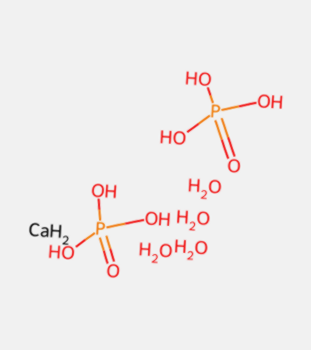 O.O.O.O.O=P(O)(O)O.O=P(O)(O)O.[CaH2]